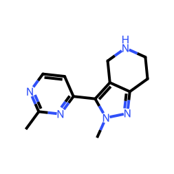 Cc1nccc(-c2c3c(nn2C)CCNC3)n1